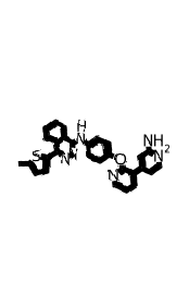 Cc1ccc(-c2nnc(Nc3ccc(Oc4ncccc4-c4ccnc(N)c4)cc3)c3ccccc23)s1